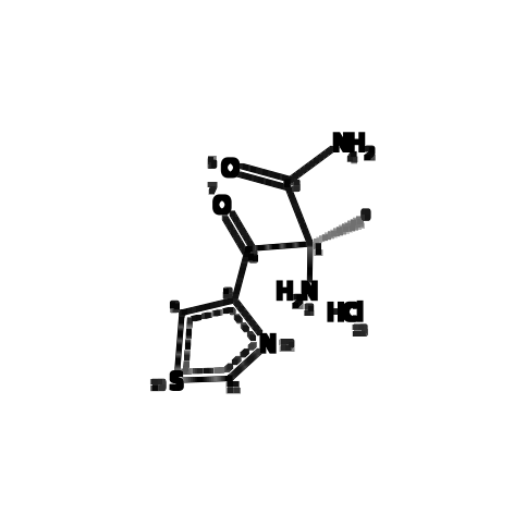 C[C@@](N)(C(N)=O)C(=O)c1cscn1.Cl